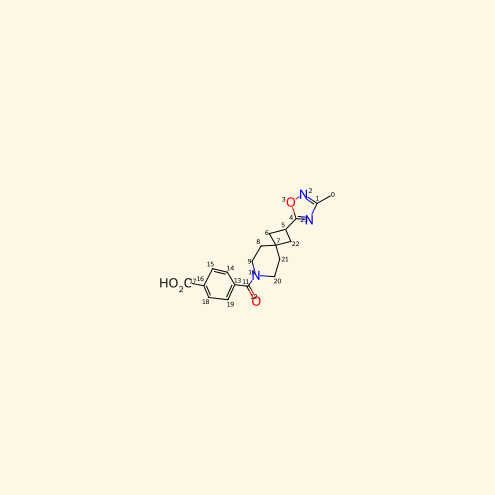 Cc1noc(C2CC3(CCN(C(=O)c4ccc(C(=O)O)cc4)CC3)C2)n1